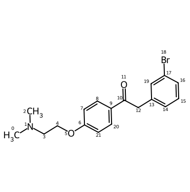 CN(C)CCOc1ccc(C(=O)Cc2cccc(Br)c2)cc1